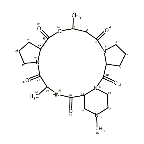 CC1CC(=O)N2CCCC2C(=O)N2CCN(C)CC2C(=O)NC(C)C(=O)N2CCCC2C(=O)O1